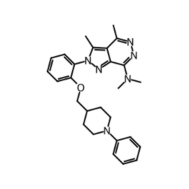 Cc1nnc(N(C)C)c2nn(-c3ccccc3OCC3CCN(c4ccccc4)CC3)c(C)c12